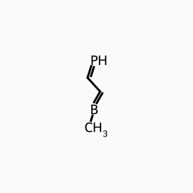 CB=CC=P